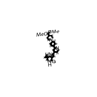 COC(OC)C1CCN(c2ccc(-c3cc(-c4cc5c([nH]4)C4(CC4)CNC5=O)ccn3)cc2)CC1